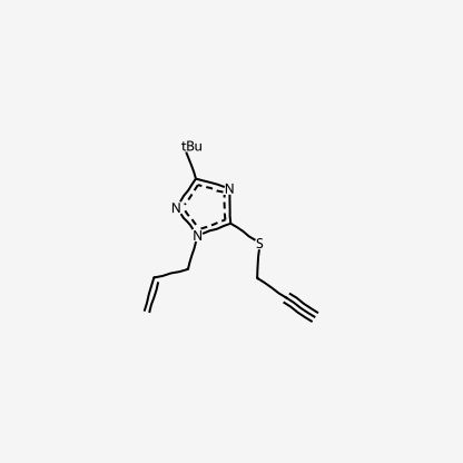 C#CCSc1nc(C(C)(C)C)nn1CC=C